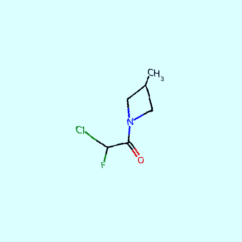 CC1CN(C(=O)C(F)Cl)C1